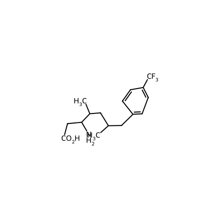 CC(Cc1ccc(C(F)(F)F)cc1)CC(C)C(N)CC(=O)O